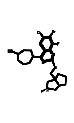 OC1CCCN(c2nc(OCC34CCCN3C[C@H](F)C4)nc3c(F)c(Br)c(Cl)cc23)CC1